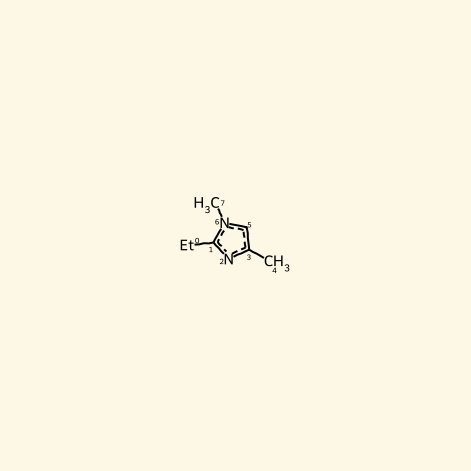 CCc1nc(C)cn1C